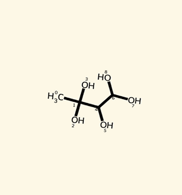 CC(O)(O)C(O)C(O)O